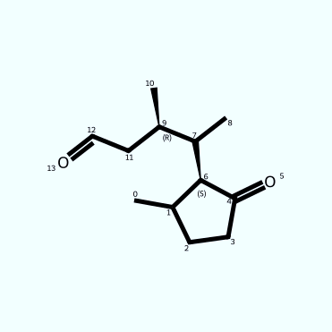 CC1CCC(=O)[C@@H]1C(C)[C@H](C)CC=O